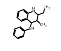 CCC1Nc2ccccc2C(Nc2ccccc2)C1C